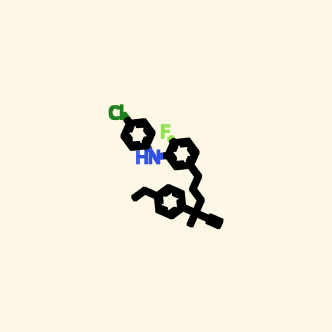 C#CC(C)(CCCc1ccc(F)c(Nc2ccc(Cl)cc2)c1)c1ccc(CC)cc1